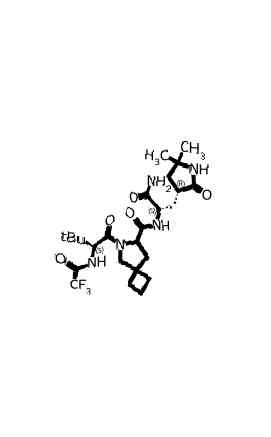 CC1(C)C[C@@H](C[C@H](NC(=O)C2CC3(CCC3)CN2C(=O)[C@@H](NC(=O)C(F)(F)F)C(C)(C)C)C(N)=O)C(=O)N1